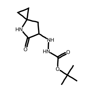 CC(C)(C)OC(=O)NNC1CC2(CC2)NC1=O